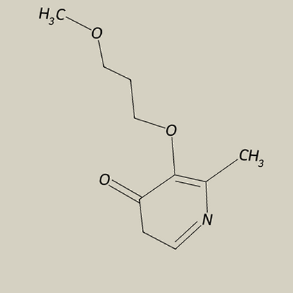 COCCCOC1=C(C)N=CCC1=O